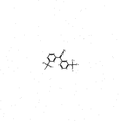 [N-]=[N+]=C(c1cccc(C(F)(F)F)c1)c1cccc(C(F)(F)F)c1